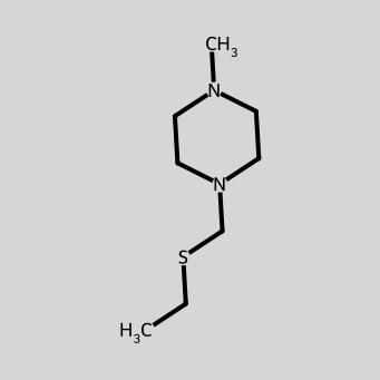 CCSCN1CCN(C)CC1